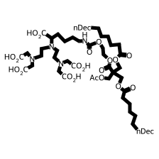 CCCCCCCCCCCCCCCC(=O)OCC(COC(C)=O)(COC(=O)CCCCCCCCCCCCCCC)C(=O)OCCOC(=O)NCCCCC(C(=O)O)N(CCN(CC(=O)O)CC(=O)O)CCN(CC(=O)O)CC(=O)O